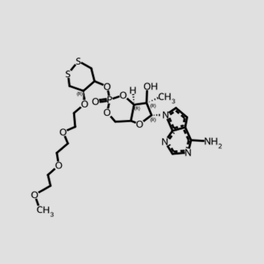 COCCOCCOCCO[C@H]1CSSCC1OP1(=O)OCC2O[C@@H](n3ccc4c(N)ncnc43)[C@](C)(O)[C@@H]2O1